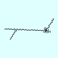 CCCCCCCCCOP(=O)(O)OCCCCCCCCCCCCCCCCCCCN(CCCCCCCC)CCCCCCCC